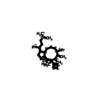 CCC(C)C12CCC(C(CCN(C)C)C(C)C)C1CCCC(C(C)C)C(C)C(C)[C@](C)(C1C3CC1C3)C2(C)CC